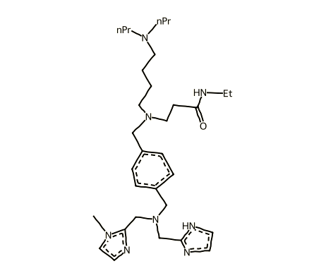 CCCN(CCC)CCCCN(CCC(=O)NCC)Cc1ccc(CN(Cc2ncc[nH]2)Cc2nccn2C)cc1